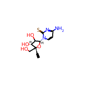 C#C[C@]1(CO)O[C@@H](n2ccc(N)nc2=S)C(O)[C@H]1O